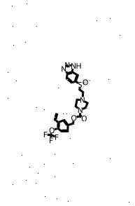 C=Cc1cc(COC(=O)N2CCN(CC[S+]([O-])c3ccc4nn[nH]c4c3)CC2)ccc1OC(F)(F)F